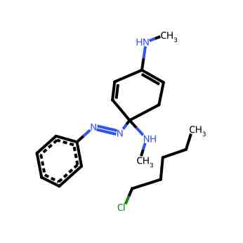 CCCCCCl.CNC1=CCC(N=Nc2ccccc2)(NC)C=C1